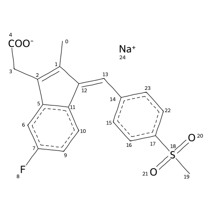 CC1=C(CC(=O)[O-])c2cc(F)ccc2C1=Cc1ccc(S(C)(=O)=O)cc1.[Na+]